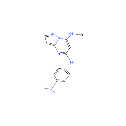 CCCNc1cc(Nc2ccc(N(C)C)cc2)nc2ccnn12